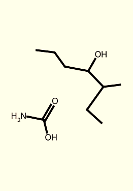 CCCC(O)C(C)CC.NC(=O)O